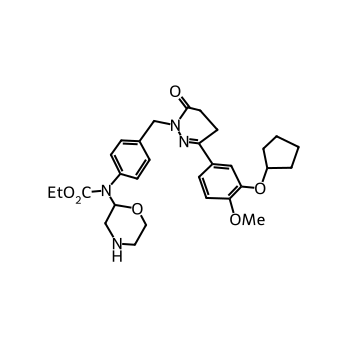 CCOC(=O)N(c1ccc(CN2N=C(c3ccc(OC)c(OC4CCCC4)c3)CCC2=O)cc1)C1CNCCO1